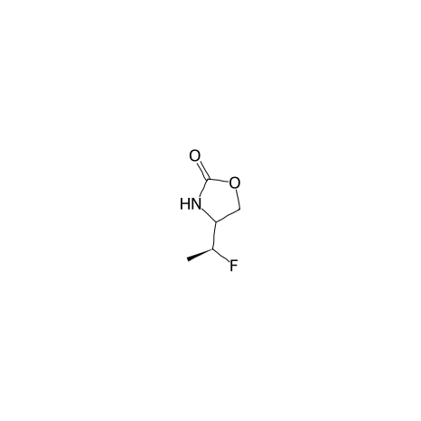 C[C@H](F)C1COC(=O)N1